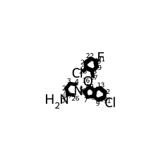 N[C@@H]1CCCN([C@H]2Cc3cc(Cl)ccc3[C@H]2OCc2cc(F)ccc2Cl)C1